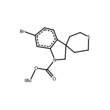 CC(C)(C)OC(=O)N1CC2(CCSCC2)c2ccc(Br)cc21